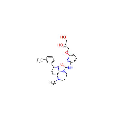 CN1CCCN(C(=O)Nc2cccc(OC[C@H](O)CO)n2)c2nc(-c3cccc(C(F)(F)F)c3)ccc21